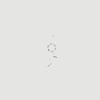 C/C=C\NC(=O)c1ccc(OC(F)(F)F)cc1